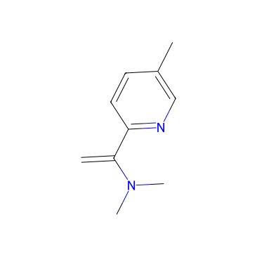 C=C(c1ccc(C)cn1)N(C)C